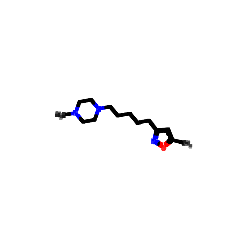 Cc1cc(CCCCCN2CCN(C)CC2)no1